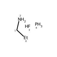 CCCN.F.P